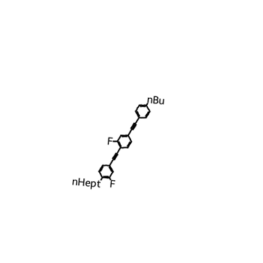 CCCCCCCc1ccc(C#Cc2ccc(C#Cc3ccc(CCCC)cc3)cc2F)cc1F